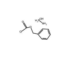 Cl.NN.O=C(Cl)OCc1ccccc1